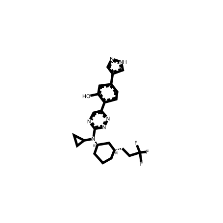 Oc1cc(-c2cn[nH]c2)ccc1-c1cnc(N(C2CC2)[C@H]2CCC[C@@H](CCC(F)(F)F)C2)nn1